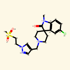 CN1C(=O)C2(CCN(Cc3cnn(CCS(C)(=O)=O)c3)CC2)c2cc(Cl)ccc21